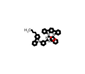 CCCCc1ccc2c(c1)c1ccccc1n2-c1cccc(-c2nc(-c3ccccc3)nc(-n3c4ccccc4c4ccc5c6ccccc6n(-c6ccccc6)c5c43)n2)c1